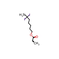 C=CC(=O)OCCCCCC([SiH3])(I)I